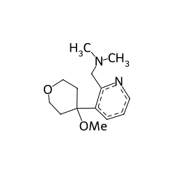 COC1(c2cccnc2CN(C)C)CCOCC1